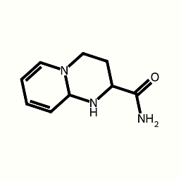 NC(=O)C1CCN2C=CC=CC2N1